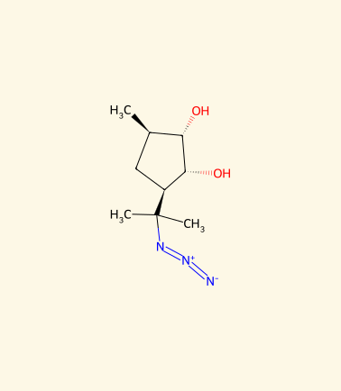 C[C@@H]1C[C@H](C(C)(C)N=[N+]=[N-])[C@@H](O)[C@H]1O